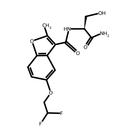 Cc1oc2ccc(OCC(F)F)cc2c1C(=O)N[C@@H](CO)C(N)=O